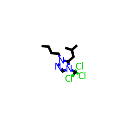 CCCCN1N=CN(C(Cl)(Cl)Cl)C1CC(C)C